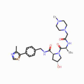 CCN1CCN(CC(=O)N[C@H](C(=O)N2C[C@H](O)C[C@H]2C(=O)NCc2ccc(-c3scnc3C)cc2)C(C)(C)C)CC1